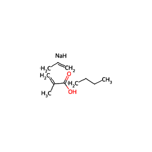 C=C(C)C(=O)O.[CH2]C=C.[CH2]CCC.[NaH]